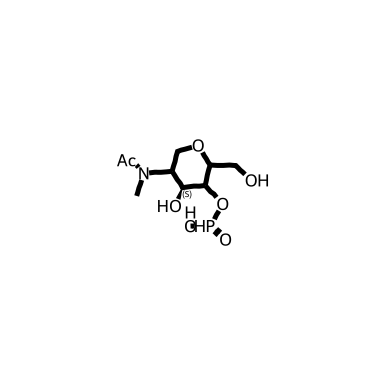 CC(=O)N(C)C1COC(CO)C(O[PH](=O)O)[C@H]1O